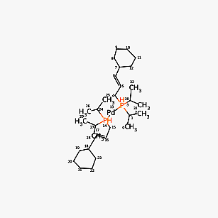 CC(C)[PH](CC=CC1CCCCC1)([Pd][PH](CC=CC1CCCCC1)(C(C)C)C(C)C)C(C)C